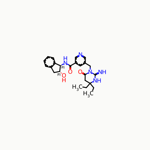 CCC1(CC)CC(=O)N(Cc2cncc(C(=O)N[C@@H]3c4ccccc4C[C@H]3O)c2)C(=N)N1